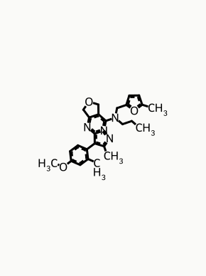 CCCN(Cc1ccc(C)o1)c1c2c(nc3c(-c4ccc(OC)cc4C)c(C)nn13)COC2